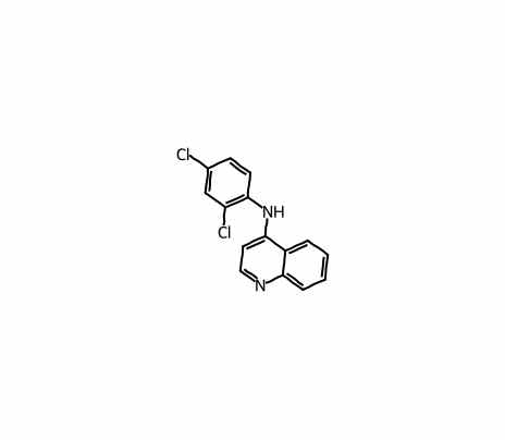 Clc1ccc(Nc2ccnc3ccccc23)c(Cl)c1